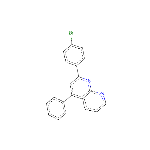 Brc1ccc(-c2cc(-c3ccccc3)c3cccnc3n2)cc1